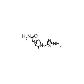 CC1CN(CC(N)=O)CCN1Cc1cnc(N)s1